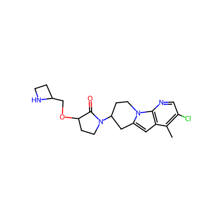 Cc1c(Cl)cnc2c1cc1n2CCC(N2CCC(OCC3CCN3)C2=O)C1